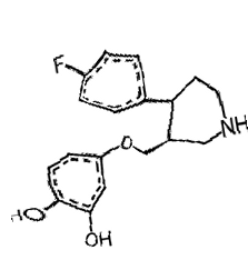 Oc1ccc(OC[C@@H]2CNCCC2c2ccc(F)cc2)cc1O